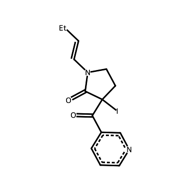 CCC=CN1CCC(I)(C(=O)c2cccnc2)C1=O